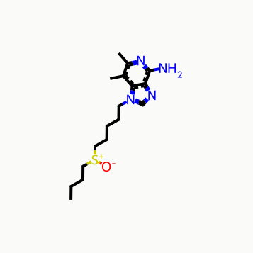 CCCC[S+]([O-])CCCCCn1cnc2c(N)nc(C)c(C)c21